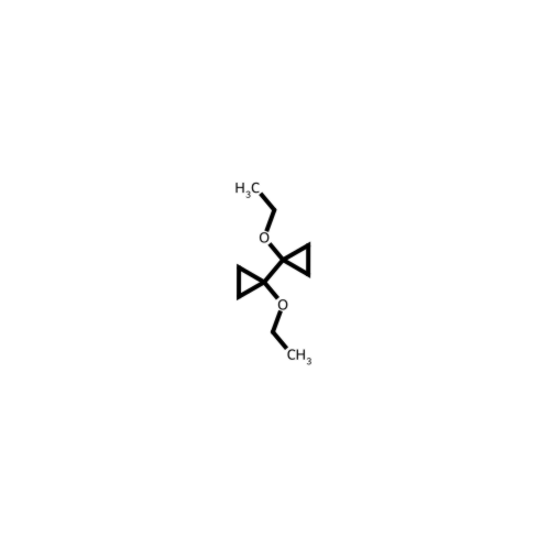 CCOC1(C2(OCC)CC2)CC1